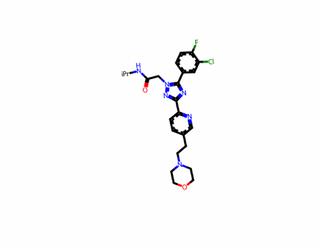 CC(C)NC(=O)Cn1nc(-c2ccc(CCN3CCOCC3)cn2)nc1-c1ccc(F)c(Cl)c1